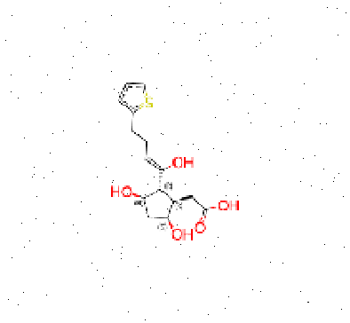 O=C(O)C[C@@H]1[C@@H](C(O)=CCCc2cccs2)[C@H](O)C[C@@H]1O